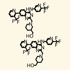 OCC1CCCN(Cc2nc(Nc3ccc(C(F)(F)F)nc3)c3ccc(-c4ncccc4C(F)(F)F)cc3n2)C1.OCC1CCN(Cc2nc(Nc3ccc(C(F)(F)F)nc3)c3ccc(-c4ncccc4C(F)(F)F)cc3n2)CC1